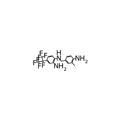 Cc1cc(CNc2ccc(C(F)(C(F)(F)F)C(F)(F)F)cc2N)ccc1N